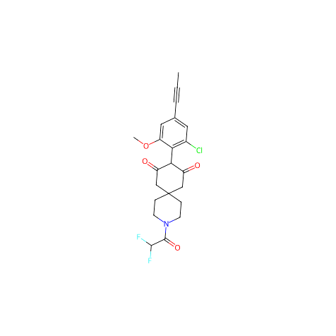 CC#Cc1cc(Cl)c(C2C(=O)CC3(CCN(C(=O)C(F)F)CC3)CC2=O)c(OC)c1